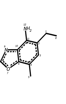 CCc1cc(C)c2ocnc2c1N